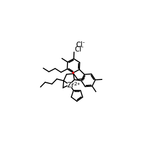 CCCCc1c(C)c(C)cc2c1[CH]([Zr+2]1([C]3=CC=CC3)[CH2][C]1(CCCC)CCCC)c1cc(C)c(C)cc1-2.[Cl-].[Cl-]